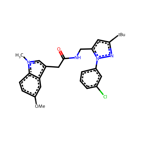 COc1ccc2c(c1)c(CC(=O)NCc1cc(C(C)(C)C)nn1-c1cccc(Cl)c1)cn2C